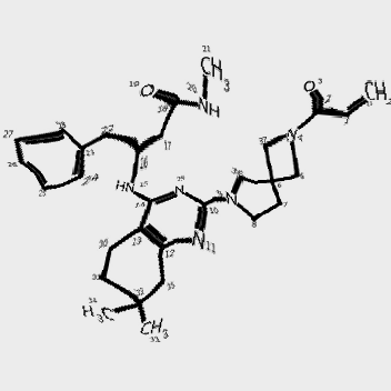 C=CC(=O)N1CC2(CCN(c3nc4c(c(NC(CC(=O)NC)Cc5ccccc5)n3)CCC(C)(C)C4)C2)C1